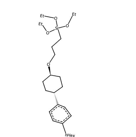 CCCCCCc1ccc([C@H]2CC[C@H](OCCC[Si](OCC)(OCC)OCC)CC2)cc1